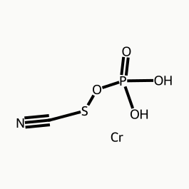 N#CSOP(=O)(O)O.[Cr]